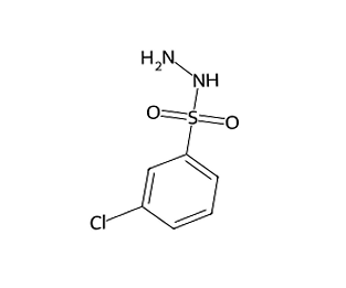 NNS(=O)(=O)c1cccc(Cl)c1